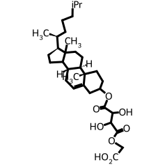 CC(C)CCC[C@H](C)[C@@H]1CCC2[C@H]3CC=C4CC(OC(=O)C(O)C(O)C(=O)OCC(=O)O)CC[C@@]4(C)[C@@H]3CCC21C